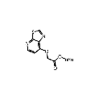 CCCCOC(=O)COc1ccnc2s[c]nc12